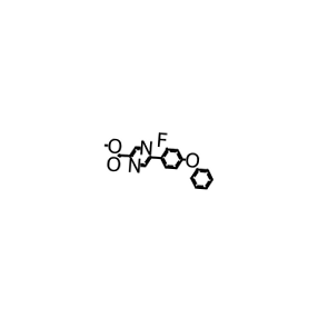 COC(=O)c1cnc(-c2ccc(Oc3ccccc3)cc2F)cn1